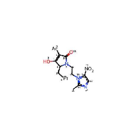 CC(=O)C1=C(O)C(CC(C)C)N(CCn2c([N+](=O)[O-])cnc2C)C1=O